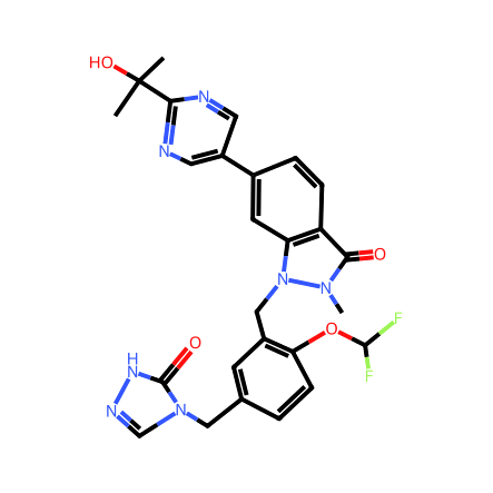 Cn1c(=O)c2ccc(-c3cnc(C(C)(C)O)nc3)cc2n1Cc1cc(Cn2cn[nH]c2=O)ccc1OC(F)F